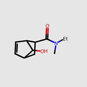 CCN(C)C(=O)C1CC2C=CC1C2O